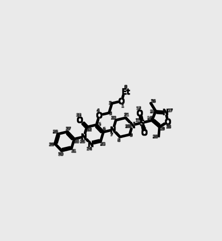 CCOCCOc1c(N2CCN(S(=O)(=O)c3c(C)noc3C)CC2)cnn(-c2ccccc2)c1=O